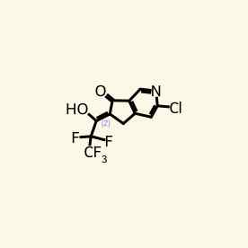 O=C1/C(=C(\O)C(F)(F)C(F)(F)F)Cc2cc(Cl)ncc21